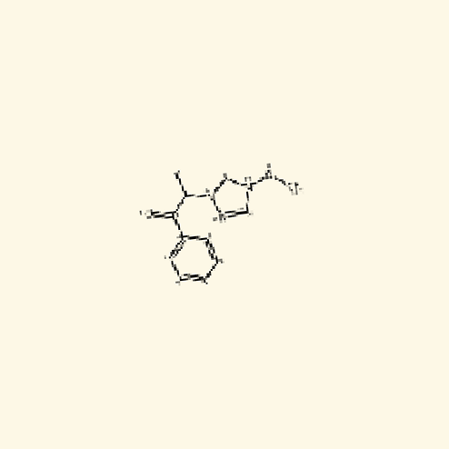 CC(C(=O)c1ccccc1)N1CN(OC(F)(F)F)C=N1